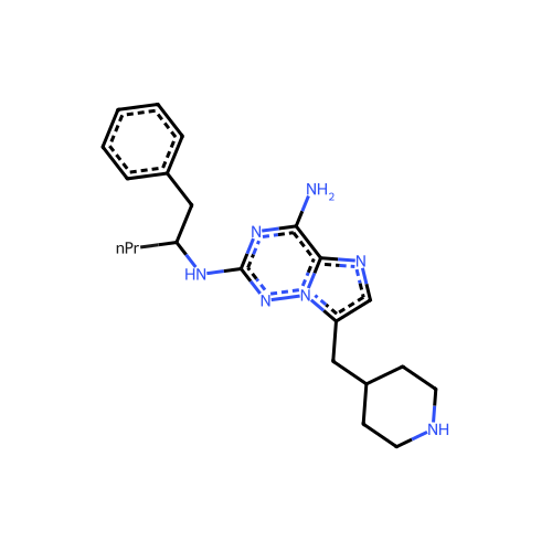 CCCC(Cc1ccccc1)Nc1nc(N)c2ncc(CC3CCNCC3)n2n1